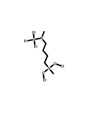 CCO[Si](C)(CCCCN(C)[Si](CC)(CC)CC)OCC